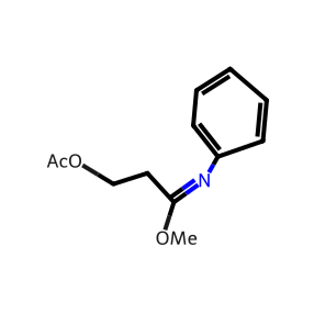 COC(CCOC(C)=O)=Nc1ccccc1